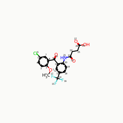 COc1ccc(Cl)cc1C(=O)c1cc(C(F)(F)F)ccc1NC(=O)CCC(=O)O